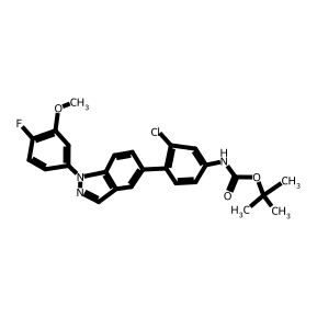 COc1cc(-n2ncc3cc(-c4ccc(NC(=O)OC(C)(C)C)cc4Cl)ccc32)ccc1F